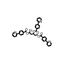 CCC(CC(CCOC(=O)c1ccc(-c2ccccn2)cc1)OC(=O)c1ccc(-c2ccccn2)cc1)OC(=O)c1ccc(-c2ccccn2)cc1